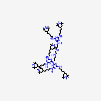 CN1C(C)(C)CC(CCCCNc2nc(NCCCCC3CC(C)(C)N(C)C(C)(C)C3)nc(NCCCNCCNCCCN(c3nc(NCCCCC4CC(C)(C)N(C)C(C)(C)C4)nc(NCCCCC4CC(C)(C)N(C)C(C)(C)C4)n3)c3nc(NCCCCC4CC(C)(C)N(C)C(C)(C)C4)nc(NCCCCC4CC(C)(C)N(C)C(C)(C)C4)n3)n2)CC1(C)C